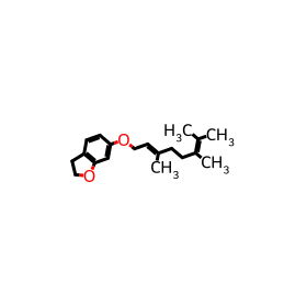 CC(C)=C(C)CC/C(C)=C/COc1ccc2c(c1)OCC2